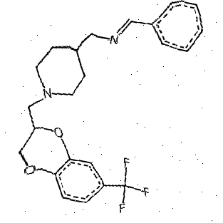 FC(F)(F)c1ccc2c(c1)OC(CN1CCC(CN=Cc3ccccc3)CC1)CO2